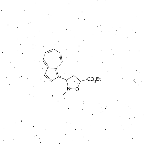 CCOC(=O)C1CC(c2ccc3cccccc2-3)N(C)O1